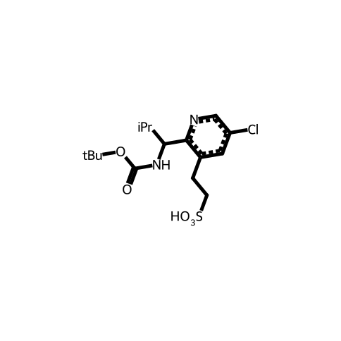 CC(C)C(NC(=O)OC(C)(C)C)c1ncc(Cl)cc1CCS(=O)(=O)O